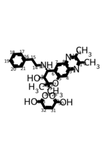 Cc1nc2cc3c(cc2nc1C)[C@H](NCCc1ccccc1)[C@@H](O)C(C)(C)O3.O=C(O)/C=C\C(=O)O